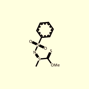 COC(=S)S(C)=NS(=O)(=O)c1ccccc1